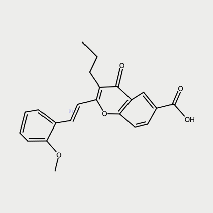 CCCc1c(/C=C/c2ccccc2OC)oc2ccc(C(=O)O)cc2c1=O